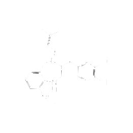 CC(C)=CCN1Cc2cccc(N)c2NCC1Cc1ccc(Cl)c(Cl)c1